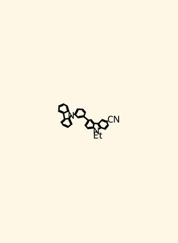 CCn1c2ccc(C#N)cc2c2cc(-c3cccc(-n4c5ccccc5c5ccccc54)c3)ccc21